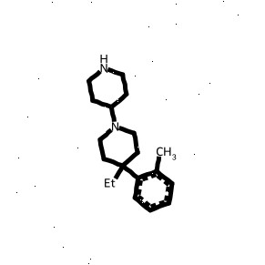 CCC1(c2ccccc2C)CCN(C2CCNCC2)CC1